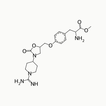 COC(=O)C(N)Cc1ccc(OCC2CN(C3CCN(C(=N)N)CC3)C(=O)O2)cc1